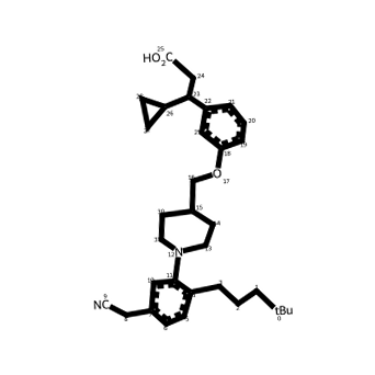 CC(C)(C)CCCc1ccc(CC#N)cc1N1CCC(COc2cccc(C(CC(=O)O)C3CC3)c2)CC1